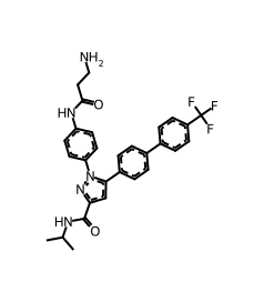 CC(C)NC(=O)c1cc(-c2ccc(-c3ccc(C(F)(F)F)cc3)cc2)n(-c2ccc(NC(=O)CCN)cc2)n1